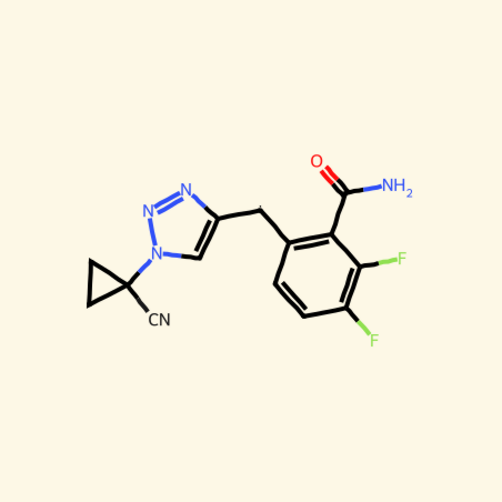 N#CC1(n2cc([CH]c3ccc(F)c(F)c3C(N)=O)nn2)CC1